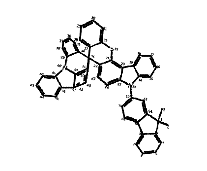 CC1(C)c2ccccc2-c2ccc(-n3c4ccccc4c4c5c(ccc43)C3(c4ccccc4S5)c4ccccc4-n4c5ccccc5c5cccc3c54)cc21